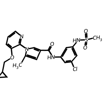 Cc1cc(C(=O)Nc2cc(Cl)cc(NS(C)(=O)=O)c2)cn1-c1ncccc1OCC1CC1